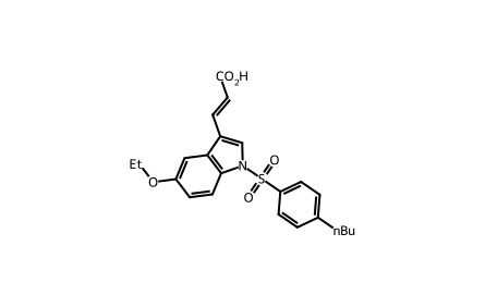 CCCCc1ccc(S(=O)(=O)n2cc(C=CC(=O)O)c3cc(OCC)ccc32)cc1